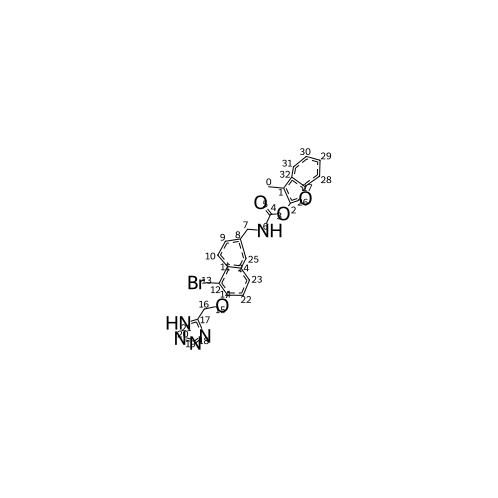 Cc1c(OC(=O)NCc2ccc3c(Br)c(OCc4nnn[nH]4)ccc3c2)oc2ccccc12